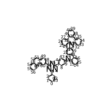 c1ccc(-c2nc(-c3ccc(-n4c5ccccc5c5cc6c(cc54)c4cccc5c4n6-c4ccccc4-c4ccccc4-5)cc3)nc(-c3ccc4ccc5ccccc5c4c3)n2)cc1